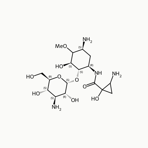 COC1[C@@H](N)C[C@@H](NC(=O)C2(O)CC2N)[C@H](O[C@H]2O[C@H](CO)[C@@H](O)[C@H](N)[C@H]2O)[C@H]1O